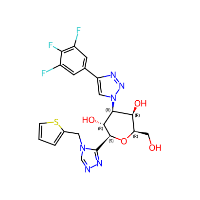 OC[C@H]1O[C@@H](c2nncn2Cc2cccs2)[C@H](O)[C@@H](n2cc(-c3cc(F)c(F)c(F)c3)nn2)[C@H]1O